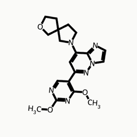 COc1ncc(-c2cc(N3CCC4(CCOC4)C3)c3nccn3n2)c(OC)n1